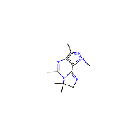 CC1=Nc2c(C)nn(C)c2C2=NCC(C)(C)N12